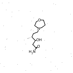 C[C@H](CCN1CCCOCC1)[C@@H](O)CC(N)=O